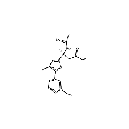 CCC(=O)C[C@](C)(NC(C)=N)c1cc(C)c(-c2cccc(N)c2)s1